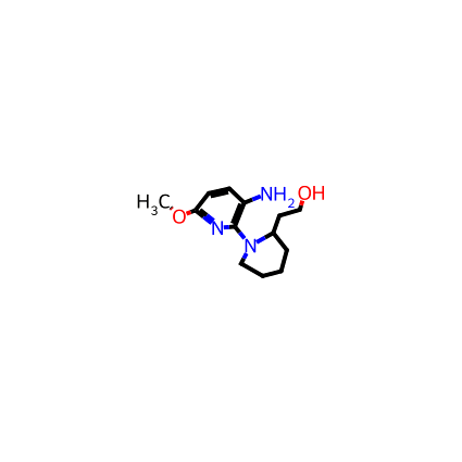 COc1ccc(N)c(N2CCCCC2CCO)n1